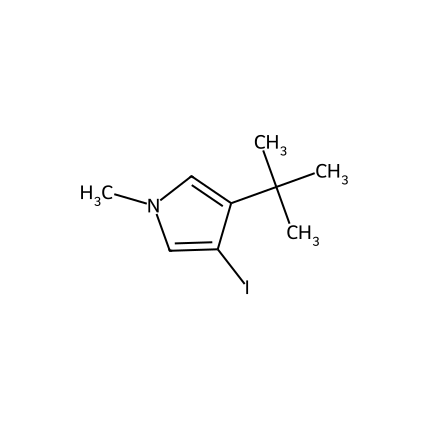 Cn1cc(I)c(C(C)(C)C)c1